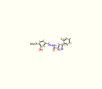 COc1ccc(/C=N/NC(=O)c2cc(-c3ccccc3C)ns2)cc1O